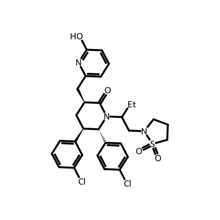 CCC(CN1CCCS1(=O)=O)N1C(=O)[C@H](Cc2cccc(O)n2)C[C@H](c2cccc(Cl)c2)[C@H]1c1ccc(Cl)cc1